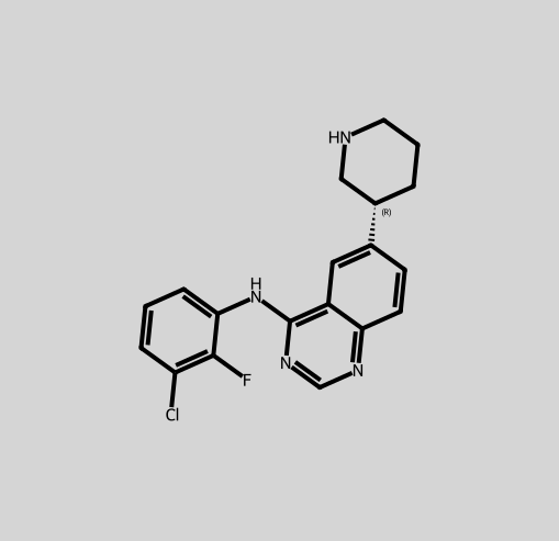 Fc1c(Cl)cccc1Nc1ncnc2ccc([C@H]3CCCNC3)cc12